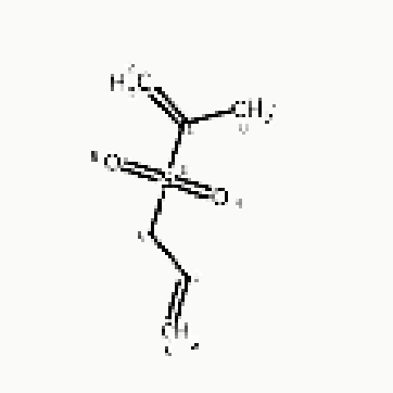 [CH2]C(=C)S(=O)(=O)CC=C